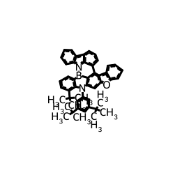 CC(C)(C)c1cc(N2c3cc4oc5ccccc5c4c4c3B(c3cccc(C(C)(C)C)c32)n2c3ccccc3c3cccc-4c32)cc(C(C)(C)C)c1